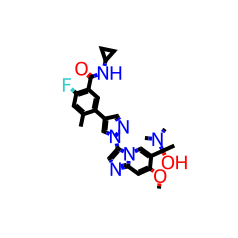 COc1cc2ncc(-n3cc(-c4cc(C(=O)NC5CC5)c(F)cc4C)cn3)n2cc1C(C)(O)N(C)C